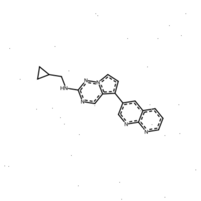 c1cnc2ncc(-c3ccn4nc(NCC5CC5)ncc34)cc2c1